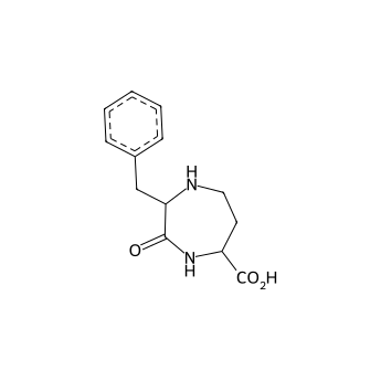 O=C(O)C1CCNC(Cc2ccccc2)C(=O)N1